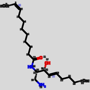 CCCCCCCC/C=C\CCCCCCCC(=O)N[C@@H](CN)[C@H](O)/C=C/CCCCCCCCCCCCC